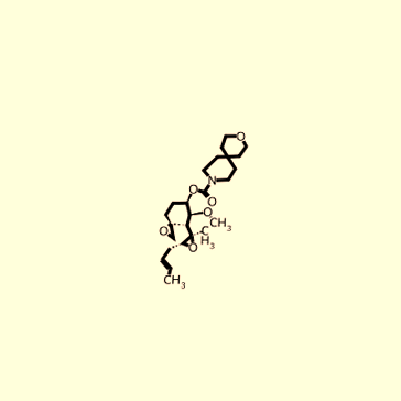 C/C=C/C[C@H]1O[C@]1(C)[C@H]1[C@H](OC)[C@H](OC(=O)N2CCC3(CCOCC3)CC2)CC[C@]12CO2